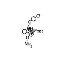 CCCCCS(=O)(=O)N(c1ccccc1NCCOc1ccc(Cl)cc1)C(C)OCCN